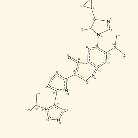 CC1C(C2CC2)N=CN1c1cc2c(=O)n(-c3cccc(-c4nncn4C(C)C)n3)cnc2cc1N(C)C